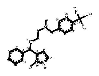 CN(CCOC(c1ccccc1)c1ccnn1C)Cc1ccc(C(F)(F)F)nc1